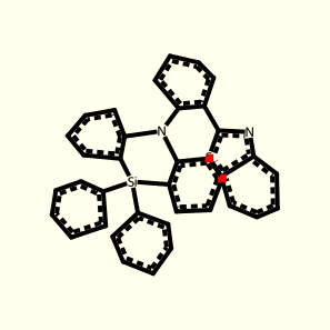 c1ccc([Si]2(c3ccccc3)c3ccccc3N(c3ccccc3-c3nc4ccccc4s3)c3ccccc32)cc1